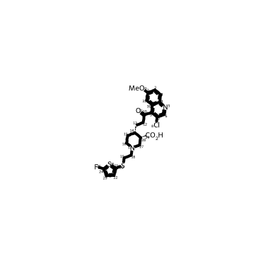 COc1ccc2ncc(Cl)c(C(=O)CC[C@H]3CCN(CCSc4ccc(F)s4)C[C@H]3C(=O)O)c2c1